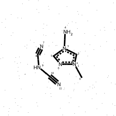 C[n+]1cn(N)cn1.N#CNC#N